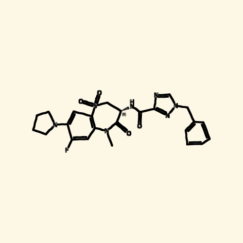 CN1C(=O)[C@@H](NC(=O)c2ncn(Cc3ccccc3)n2)CS(=O)(=O)c2cc(N3CCCC3)c(F)cc21